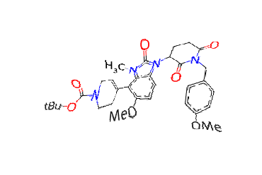 COc1ccc(CN2C(=O)CCC(n3c(=O)n(C)c4c(C5=CCN(C(=O)OC(C)(C)C)CC5)c(OC)ccc43)C2=O)cc1